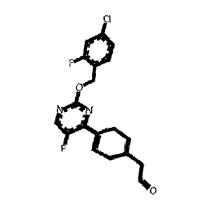 O=CCC1CC=C(c2nc(OCc3ccc(Cl)cc3F)ncc2F)CC1